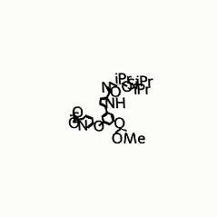 COC[C@H](C)Oc1cc(Oc2ccc(S(C)(=O)=O)nc2)cc(-c2ccc(C3=NC[C@H](CO[Si](C(C)C)(C(C)C)C(C)C)O3)[nH]2)c1